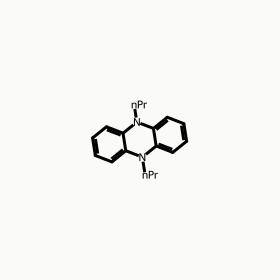 CCCN1c2ccccc2N(CCC)c2ccccc21